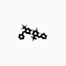 Fc1cc(Cc2ccccc2)c(C(F)(F)F)cc1Oc1cc(C(F)(F)F)c(Cc2ccccc2)cc1F